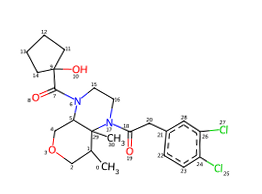 CC1COCC2N(C(=O)C3(O)CCCC3)CCN(C(=O)Cc3ccc(Cl)c(Cl)c3)C12C